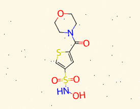 O=C(c1cc(S(=O)(=O)NO)cs1)N1CCOCC1